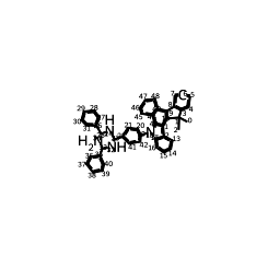 CC1(C)c2ccccc2-c2c1c1c3ccccc3n(-c3ccc(C(NCc4ccccc4)NC(N)c4ccccc4)cc3)c1c1ccccc21